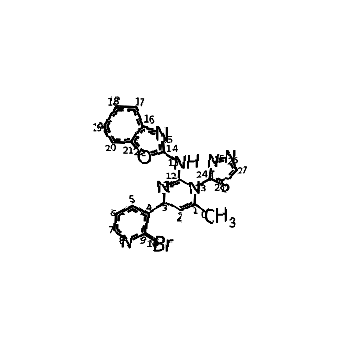 CC1=CC(c2cccnc2Br)N=C(Nc2nc3ccccc3o2)N1c1nncs1